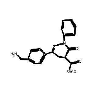 COC(=O)C1CC(c2ccc(CN)cc2)=NN(c2ccccc2)C1=O